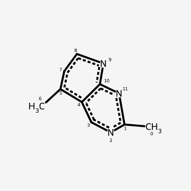 Cc1ncc2c(C)ccnc2n1